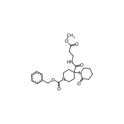 COC(=O)CCNC(=O)C1(N2CCCCC2=O)CCN(C(=O)OCc2ccccc2)CC1